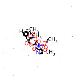 CCCOC(=O)Oc1c(OC)ccnc1C(=O)N[C@H]1COC(=O)[C@H](Cc2ccccc2)[C@@H](OC(=O)C(C)C)[C@H](C)OC1=O